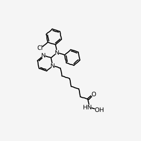 O=C(CCCCCCN1C=CC=NC1N(c1ccccc1)c1ccccc1Cl)NO